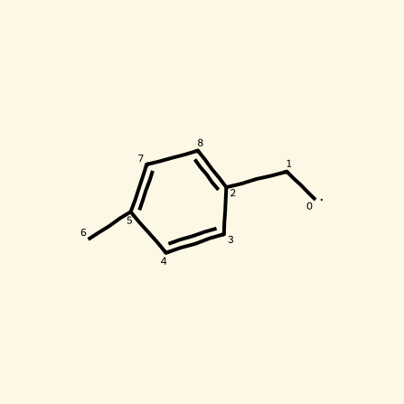 [CH2]Cc1ccc(C)cc1